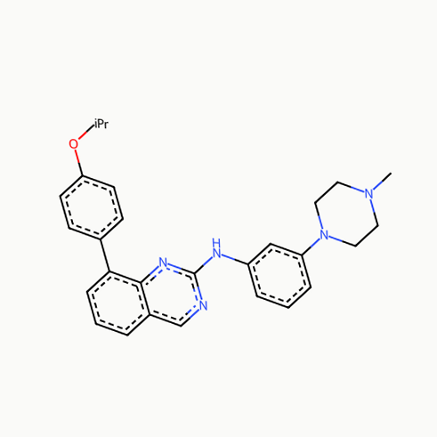 CC(C)Oc1ccc(-c2cccc3cnc(Nc4cccc(N5CCN(C)CC5)c4)nc23)cc1